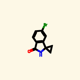 O=C1NC2(CC2)c2cc(Br)ccc21